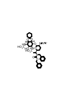 CC([C@@H]1CC[C@@H](N=[N+]=[N-])[C@@H](O[C@@H]2[C@@H](NC(=O)O)[C@H](O)[C@@H](NC(=O)O)[C@@H]3OC4(CCCCC4)O[C@@H]23)O1)N(Cc1ccccc1)C(=O)OCc1ccccc1